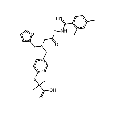 Cc1ccc(C(=N)NOC(=O)CN(Cc2ccc(SC(C)(C)C(=O)O)cc2)Cc2ccco2)c(C)c1